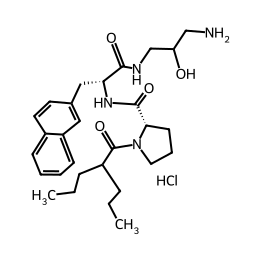 CCCC(CCC)C(=O)N1CCC[C@H]1C(=O)N[C@H](Cc1ccc2ccccc2c1)C(=O)NCC(O)CN.Cl